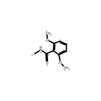 COc1cccc(OC)c1C(=O)NI